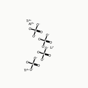 O=P([O-])([O-])[O-].O=P([O-])([O-])[O-].O=P([O-])([O-])[O-].O=P([O-])([O-])[O-].[Al+3].[Li+].[Ti+4].[Ti+4]